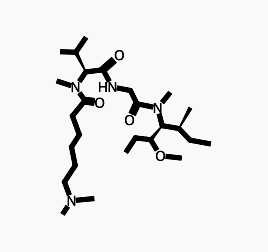 CCC(OC)[C@H]([C@@H](C)CC)N(C)C(=O)CNC(=O)[C@H](C(C)C)N(C)C(=O)CCCCCN(C)C